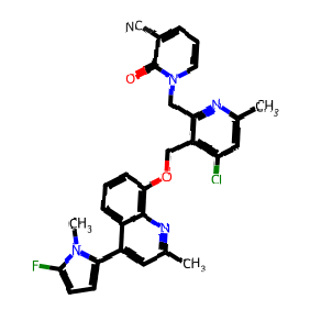 Cc1cc(Cl)c(COc2cccc3c(-c4ccc(F)n4C)cc(C)nc23)c(Cn2cccc(C#N)c2=O)n1